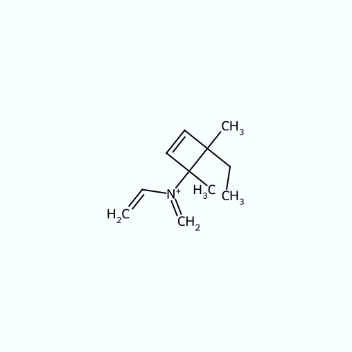 C=C[N+](=C)C1(C)C=CC1(C)CC